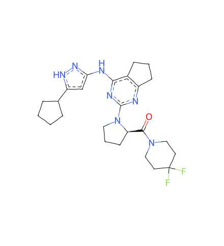 O=C([C@H]1CCCN1c1nc2c(c(Nc3cc(C4CCCC4)[nH]n3)n1)CCC2)N1CCC(F)(F)CC1